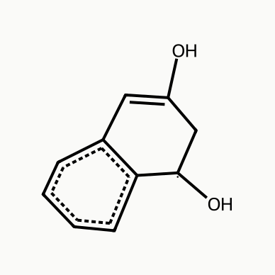 O[C]1CC(O)=Cc2ccccc21